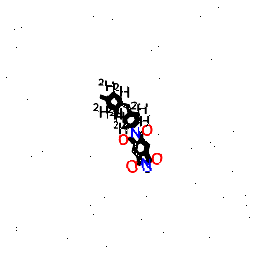 [2H]c1c([2H])c(Cc2c([2H])c([2H])c(-n3c(=O)c4cc5c(=O)n(C)c(=O)c5cc4c3=O)c([2H])c2[2H])c([2H])c([2H])c1C